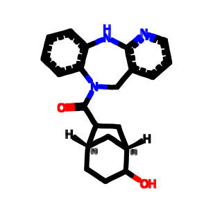 O=C(C1C[C@H]2C[C@@H]1CCC2O)N1Cc2cccnc2Nc2ccccc21